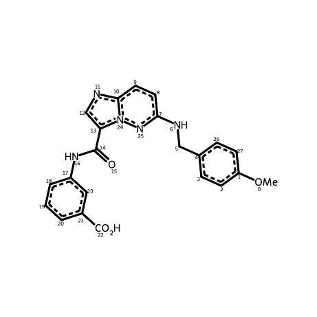 COc1ccc(CNc2ccc3ncc(C(=O)Nc4cccc(C(=O)O)c4)n3n2)cc1